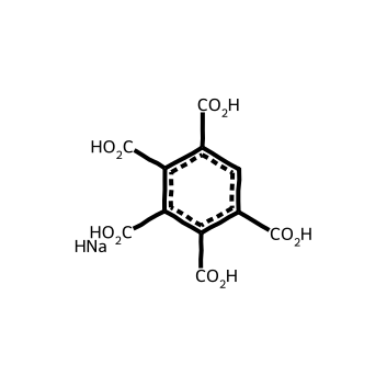 O=C(O)c1cc(C(=O)O)c(C(=O)O)c(C(=O)O)c1C(=O)O.[NaH]